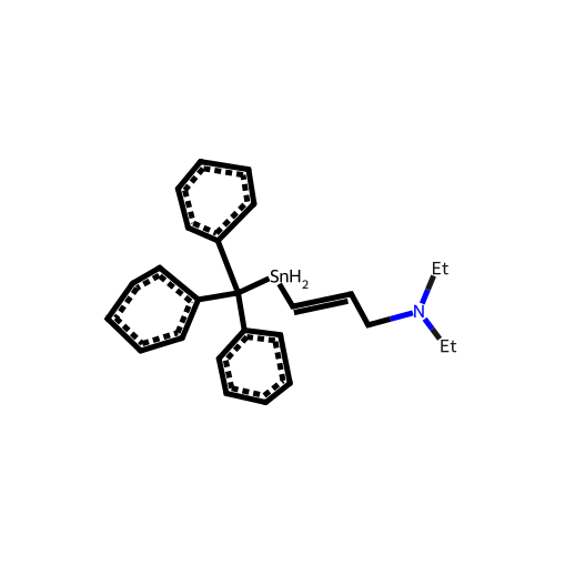 CCN(CC)CC=[CH][SnH2][C](c1ccccc1)(c1ccccc1)c1ccccc1